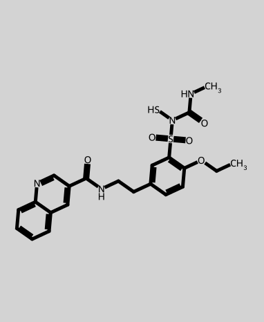 CCOc1ccc(CCNC(=O)c2cnc3ccccc3c2)cc1S(=O)(=O)N(S)C(=O)NC